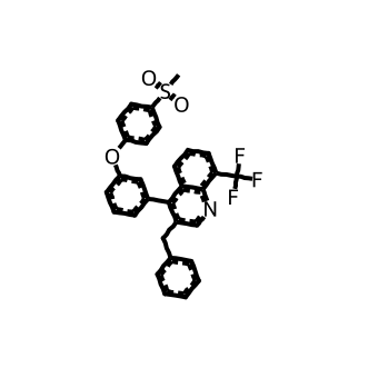 CS(=O)(=O)c1ccc(Oc2cccc(-c3c(Cc4ccccc4)cnc4c(C(F)(F)F)cccc34)c2)cc1